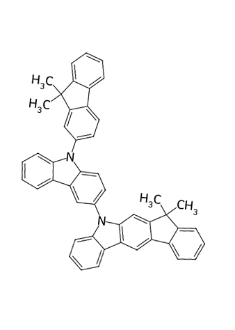 CC1(C)c2ccccc2-c2ccc(-n3c4ccccc4c4cc(-n5c6ccccc6c6cc7c(cc65)C(C)(C)c5ccccc5-7)ccc43)cc21